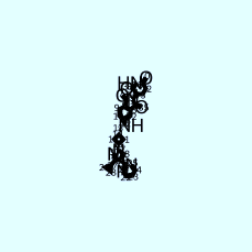 O=C1CCC(N2C(=O)c3ccc(NC[C@H]4C[C@H](n5cc(-c6ncccn6)c(C6CC6)n5)C4)cc3C2=O)C(=O)N1